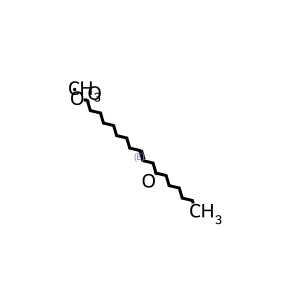 CCCCCCC(=O)C/C=C/CCCCCCCC(=O)OC